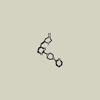 C(=C1CNCS1)c1ccnc(N2CCN(c3ccccn3)CC2)n1